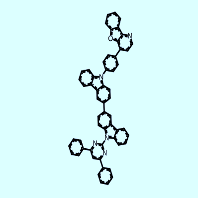 c1ccc(-c2cc(-c3ccccc3)nc(-n3c4ccccc4c4cc(-c5ccc6c(c5)c5ccccc5n6-c5ccc(-c6ccnc7c6oc6ccccc67)cc5)ccc43)n2)cc1